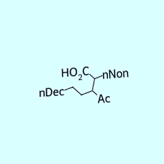 CCCCCCCCCCCCC(C(C)=O)C(CCCCCCCCC)C(=O)O